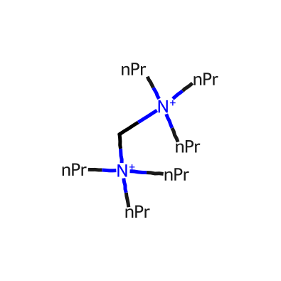 CCC[N+](CCC)(CCC)C[N+](CCC)(CCC)CCC